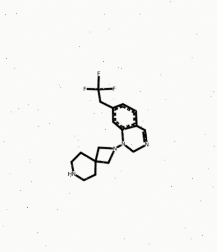 FC(F)(F)Cc1ccc2c(c1)N(N1CC3(CCNCC3)C1)CN=C2